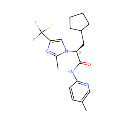 Cc1ccc(NC(=O)[C@H](CC2CCCC2)n2cc(C(F)(F)F)nc2C)nc1